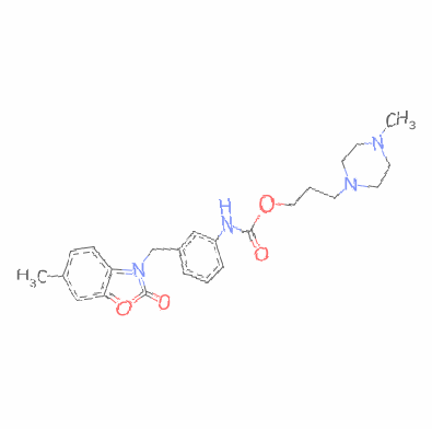 Cc1ccc2c(c1)oc(=O)n2Cc1cccc(NC(=O)OCCCN2CCN(C)CC2)c1